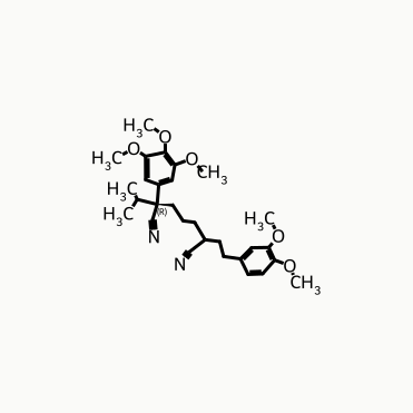 COc1ccc(CCC(C#N)CCC[C@](C#N)(c2cc(OC)c(OC)c(OC)c2)C(C)C)cc1OC